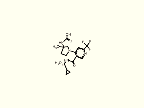 C[C@H](NC(=O)c1cnc(C(F)(F)F)cc1N1CCC(C)(NC(=O)O)C1)C1CC1